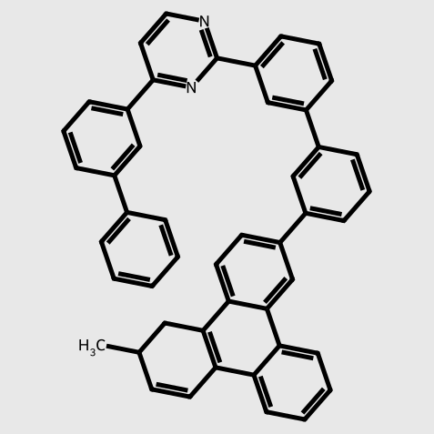 CC1C=Cc2c(c3ccc(-c4cccc(-c5cccc(-c6nccc(-c7cccc(-c8ccccc8)c7)n6)c5)c4)cc3c3ccccc23)C1